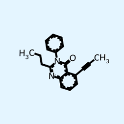 CC#Cc1cccc2nc(CCC)n(-c3ccccc3)c(=O)c12